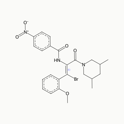 COc1ccccc1/C(Br)=C(\NC(=O)c1ccc([N+](=O)[O-])cc1)C(=O)N1CC(C)CC(C)C1